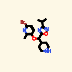 Cc1nc(Br)ccc1OC(c1nc(C(C)C)no1)C1CCNCC1